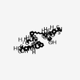 Cc1ncsc1-c1ccc([C@H](C)NC(=O)[C@@H]2C[C@@H](O)CN2C(=O)[C@@H](NC(=O)CCCCCc2cccc(NC(=O)[C@H](CCC(N)=O)NC(=O)[C@@H]3Cc4cccc5c4N3C(=O)[C@@H](NC(=O)c3cc4cc(C(=O)P(=O)(O)O)ccc4[nH]3)CC5)c2F)C(C)(C)C)cc1